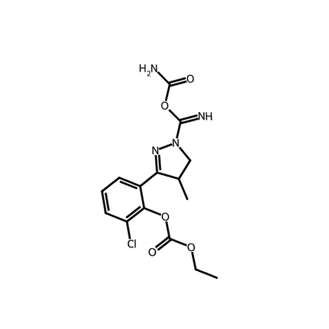 CCOC(=O)Oc1c(Cl)cccc1C1=NN(C(=N)OC(N)=O)CC1C